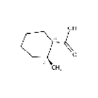 C[C@H]1CCCC[C@@H]1C(=O)O